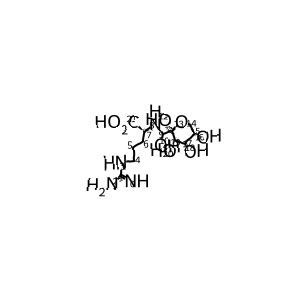 N=C(N)NCCC[C@H](NC(O)[C@@]1(O)OC[C@@H](O)[C@@H](O)[C@@H]1O)C(=O)O